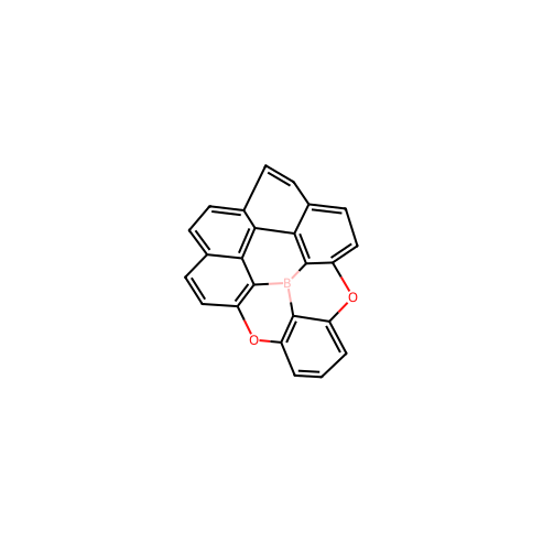 c1cc2c3c(c1)Oc1ccc4ccc5ccc6ccc(c7c6c5c4c1B37)O2